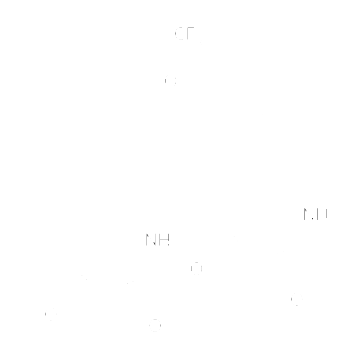 O=C1Nc2ccc(OC(F)(F)F)cc2C1=O.O=C1Nc2ccccc2C1=O